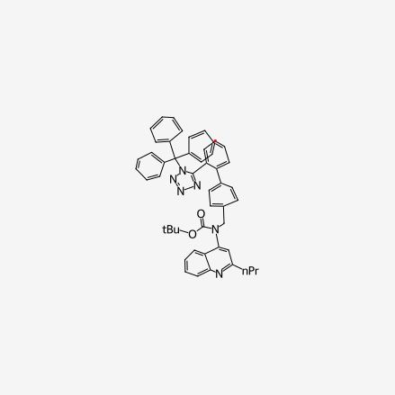 CCCc1cc(N(Cc2ccc(-c3ccccc3-c3nnnn3C(c3ccccc3)(c3ccccc3)c3ccccc3)cc2)C(=O)OC(C)(C)C)c2ccccc2n1